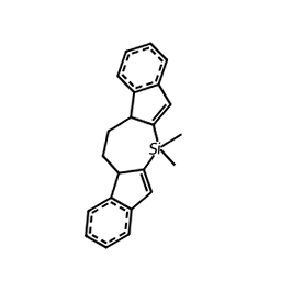 C[Si]1(C)C2=Cc3ccccc3C2CCC2C1=Cc1ccccc12